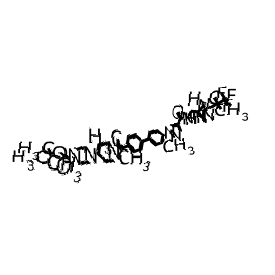 Cc1cc(-c2ccc(C(C)(C)N3CCC(N4CCN(C(=O)OC(C)(C)C)CC4)CC3)cc2)ccc1-n1cc(C(=O)NCc2nc(C(C)(C)C(F)(F)F)n[nH]2)cn1